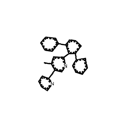 Cc1cc(-c2c(-c3ccccc3)cccc2-c2ccccc2)ncc1-c1ccccn1